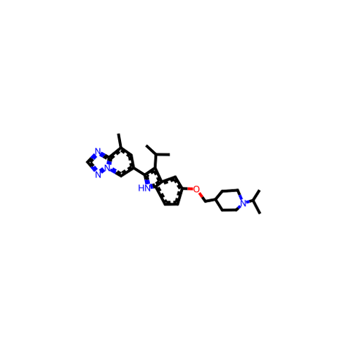 Cc1cc(-c2[nH]c3ccc(OCC4CCN(C(C)C)CC4)cc3c2C(C)C)cn2ncnc12